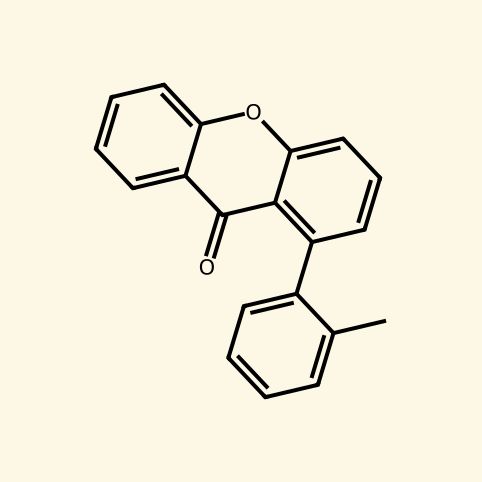 Cc1ccccc1-c1cccc2oc3ccccc3c(=O)c12